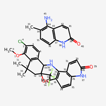 COc1c(Cl)ccc2c1C(C)(C)CC(O)(C(F)(F)F)C2Nc1c(C)ccc2[nH]c(=O)ccc12.Cc1ccc2[nH]c(=O)ccc2c1N